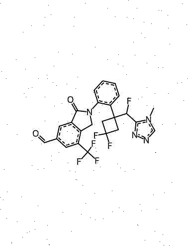 Cn1cnnc1C(F)C1(c2ccccc2N2Cc3c(cc(C=O)cc3C(F)(F)F)C2=O)CC(F)(F)C1